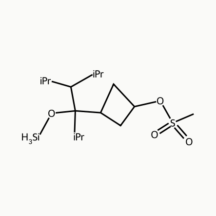 CC(C)C(C(C)C)C(O[SiH3])(C(C)C)C1CC(OS(C)(=O)=O)C1